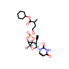 C#C[C@@]1(C)[C@H](n2ccc(=O)[nH]c2=O)O[C@@H]2C3O[P@@](=O)(OCCC(C)C(=O)OC4CCCCC4)O[C@]321